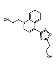 O=NCCN1CC=C(c2noc(CCO)n2)C2=CCCC=C21